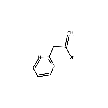 C=C(Br)Cc1ncccn1